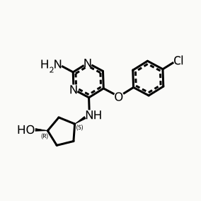 Nc1ncc(Oc2ccc(Cl)cc2)c(N[C@H]2CC[C@@H](O)C2)n1